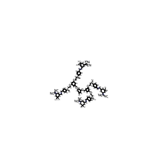 [C-]#[N+]/C(C#N)=C1C=C(/C=C/c2ccc(N(C)CCOc3cc(COc4cc(C)cc(OCc5cc(OCCN(C)c6ccc(/C=C/C7=CC(=C(/C#N)[N+]#[C-])/CC(C)(C)C7)cc6)cc(OCCN(C)c6ccc(/C=C/C7=CC(=C(\C#N)[N+]#[C-])/CC(C)(C)C7)cc6)c5)c4)cc(OCCN(C)c4ccc(/C=C/C5=CC(=C(C#N)C#N)CC(C)(C)C5)cc4)c3)cc2)CC(C)(C)C\1